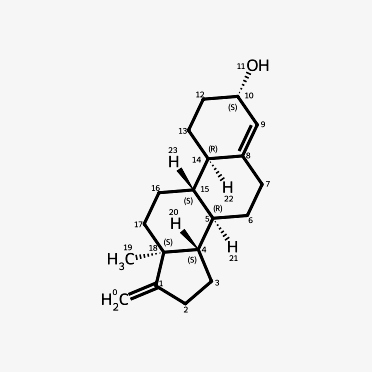 C=C1CC[C@H]2[C@@H]3CCC4=C[C@@H](O)CC[C@@H]4[C@H]3CC[C@]12C